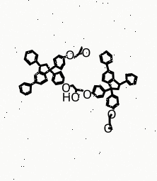 OC(COc1ccc(C2(c3ccc(OCC4CO4)cc3)CC(c3ccccc3)c3cc(-c4ccccc4)ccc32)cc1)COc1ccc(C2(c3ccc(OCC4CO4)cc3)CC(c3ccccc3)c3cc(-c4ccccc4)ccc32)cc1